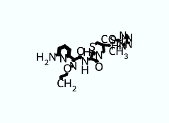 C=CCON=C(C(=O)NC1C(=O)N2CC(C(=O)O)(C(C)Sc3nnn[nH]3)CS[C@H]12)c1cccc(N)n1